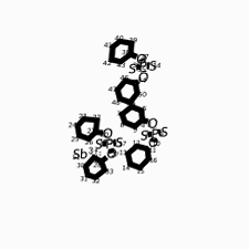 S=P([S-])(OC1CCCCC1)OC1CCCCC1.S=P([S-])(OC1CCCCC1)OC1CCCCC1.S=P([S-])(OC1CCCCC1)OC1CCCCC1.[Sb+3]